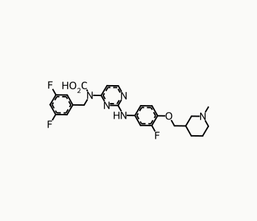 CN1CCCC(COc2ccc(Nc3nccc(N(Cc4cc(F)cc(F)c4)C(=O)O)n3)cc2F)C1